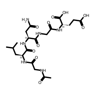 CC(=O)NCC(=O)N[C@@H](CC(C)C)C(=O)N[C@@H](CC(N)=O)C(=O)NCC(=O)N[C@@H](CCC(=O)O)C(=O)O